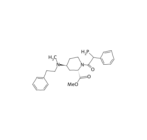 COC(=O)[C@@H]1C[C@@H](N(C)CCc2ccccc2)CCN1C(=O)C(P)c1ccccc1